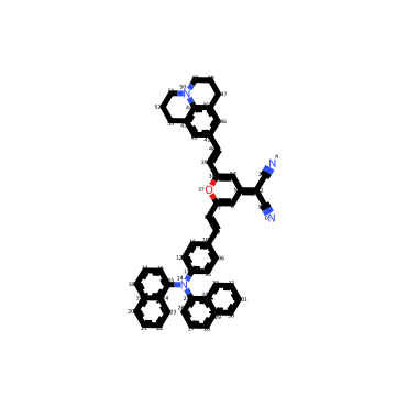 N#CC(C#N)=C1C=C(/C=C/c2ccc(N(c3cccc4ccccc34)c3cccc4ccccc34)cc2)OC(/C=C/c2cc3c4c(c2)CCCN4CCC3)=C1